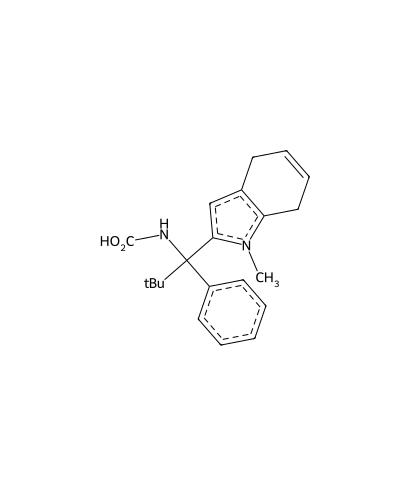 Cn1c(C(NC(=O)O)(c2ccccc2)C(C)(C)C)cc2c1CC=CC2